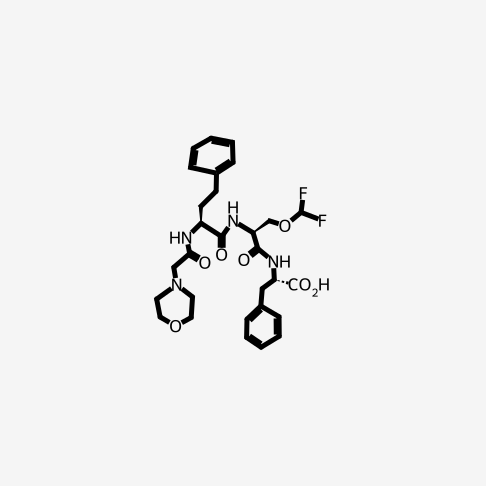 O=C(CN1CCOCC1)N[C@@H](CCc1ccccc1)C(=O)N[C@@H](COC(F)F)C(=O)N[C@@H](Cc1ccccc1)C(=O)O